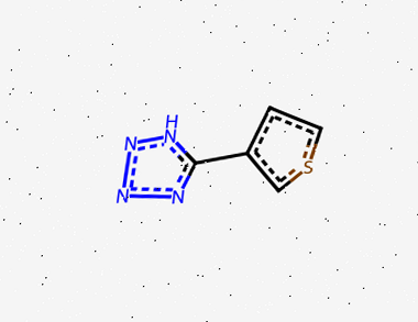 c1cc(-c2nnn[nH]2)cs1